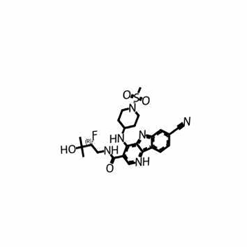 CC(C)(O)[C@H](F)CNC(=O)c1c[nH]c2c3ccc(C#N)cc3nc-2c1NC1CCN(S(C)(=O)=O)CC1